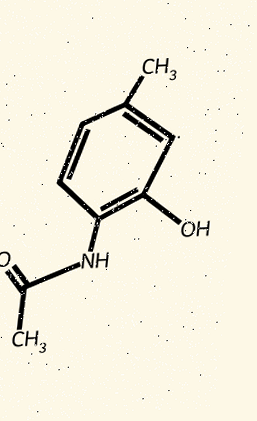 CC(=O)Nc1ccc(C)[c]c1O